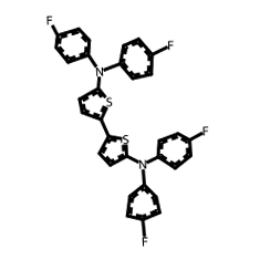 Fc1ccc(N(c2ccc(F)cc2)c2ccc(-c3ccc(N(c4ccc(F)cc4)c4ccc(F)cc4)s3)s2)cc1